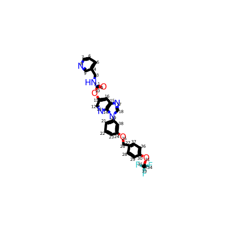 O=C(NCc1cccnc1)Oc1cnc2c(c1)ncn2-c1cccc(OCc2ccc(OC(F)(F)F)cc2)c1